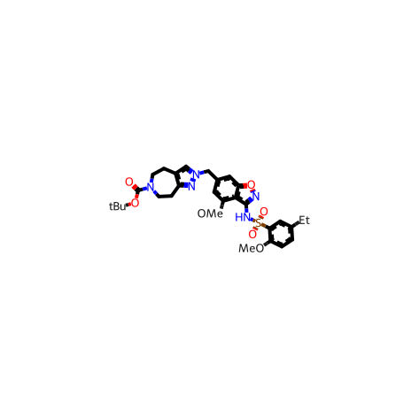 CCc1ccc(OC)c(S(=O)(=O)Nc2noc3cc(Cn4cc5c(n4)CCN(C(=O)OC(C)(C)C)CC5)cc(OC)c23)c1